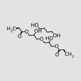 C=CC(=O)OCC(O)COCC(O)COC(=O)C=C.OCCCCO